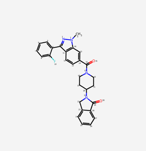 Cn1nc(-c2ccccc2F)c2ccc(C(=O)N3CCC(N4Cc5ccccc5C4=O)CC3)cc21